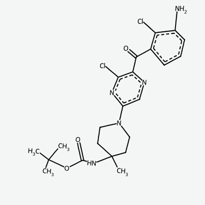 CC1(NC(=O)OC(C)(C)C)CCN(c2cnc(C(=O)c3cccc(N)c3Cl)c(Cl)n2)CC1